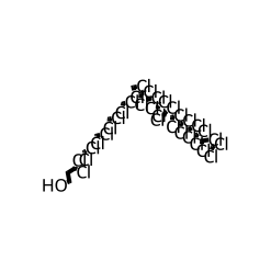 ClCCl.ClCCl.ClCCl.ClCCl.ClCCl.ClCCl.ClCCl.ClCCl.ClCCl.ClCCl.ClCCl.ClCCl.ClCCl.ClCCl.ClCCl.OCCC(Cl)Cl